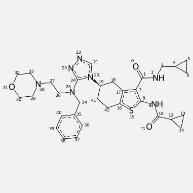 O=C(NCC1CC1)c1c(NC(=O)C2CC2)sc2c1C[C@H](n1cnnc1N(CCN1CCOCC1)Cc1ccccc1)CC2